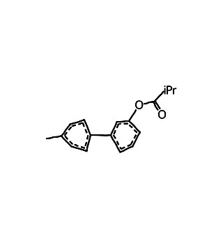 Cc1ccc(-c2cccc(OC(=O)C(C)C)c2)cc1